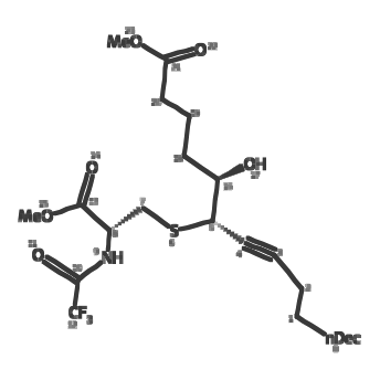 CCCCCCCCCCCCC#C[C@H](SC[C@H](NC(=O)C(F)(F)F)C(=O)OC)[C@H](O)CCCC(=O)OC